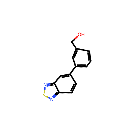 OCc1cccc(-c2ccc3nsnc3c2)c1